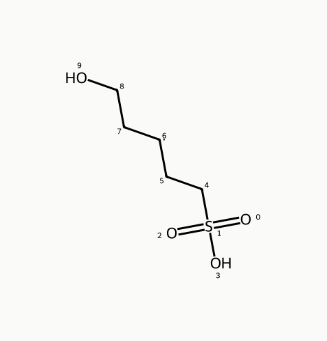 O=S(=O)(O)CC[CH]CCO